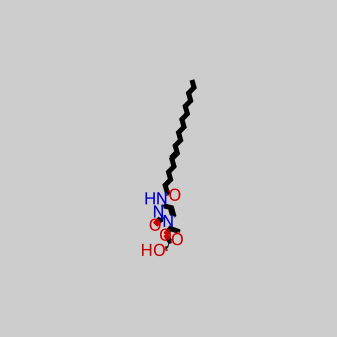 CCCCCCCCCCC/C=C/CCCCC(=O)Nc1ccn([C@@H]2CO[C@H](CO)O2)c(=O)n1